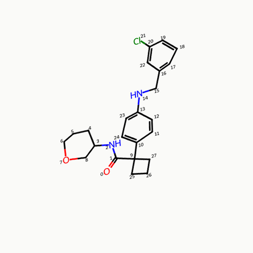 O=C(NC1CCCOC1)C1(c2ccc(NCc3cccc(Cl)c3)cc2)CCC1